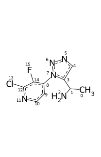 CC(N)c1cnnn1-c1ccnc(Cl)c1F